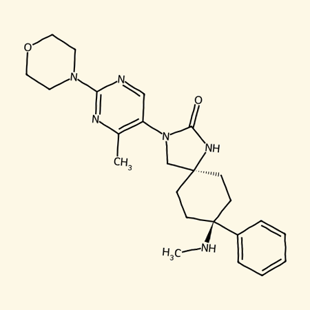 CN[C@]1(c2ccccc2)CC[C@]2(CC1)CN(c1cnc(N3CCOCC3)nc1C)C(=O)N2